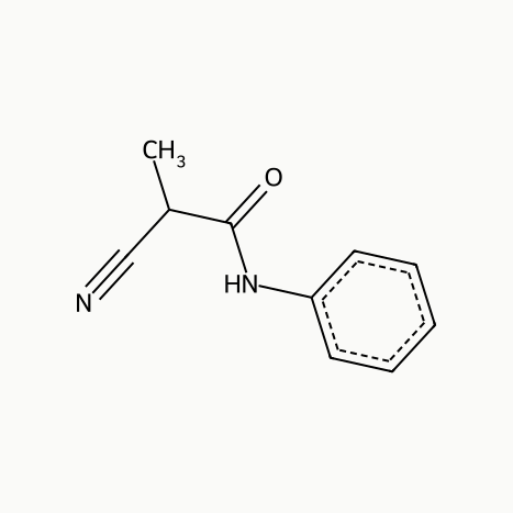 CC(C#N)C(=O)Nc1ccccc1